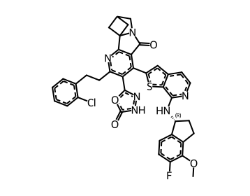 COc1c(F)ccc2c1CC[C@H]2Nc1nccc2cc(-c3c4c(nc(CCc5ccccc5Cl)c3-c3n[nH]c(=O)o3)C35CC(CN3C4=O)C5)sc12